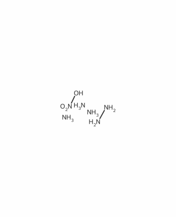 N.N.N.NN.O=[N+]([O-])O